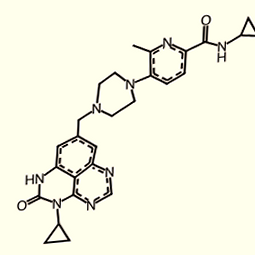 Cc1nc(C(=O)NC2CC2)ccc1N1CCN(Cc2cc3c4c(ncnc4c2)N(C2CC2)C(=O)N3)CC1